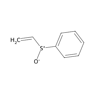 C=C[S+]([O-])c1ccccc1